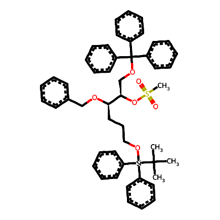 CC(C)(C)[Si](OCCC[C@@H](OCc1ccccc1)[C@@H](COC(c1ccccc1)(c1ccccc1)c1ccccc1)OS(C)(=O)=O)(c1ccccc1)c1ccccc1